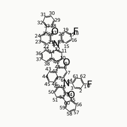 Fc1ccc(N(c2cc3oc4cc(N(c5ccc(F)cc5)c5cccc6c5oc5ccccc56)c5ccccc5c4c3c3ccccc23)c2cccc3c2oc2ccccc23)cc1